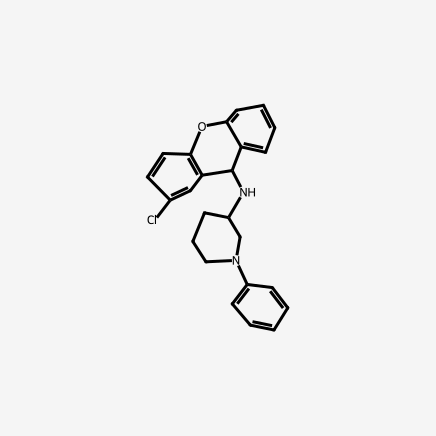 Clc1ccc2c(c1)C(NC1CCCN(c3ccccc3)C1)c1ccccc1O2